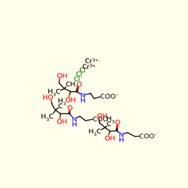 CC(C)(CO)C(O)C(=O)NCCC(=O)[O-].CC(C)(CO)C(O)C(=O)NCCC(=O)[O-].CC(C)(CO)C(O)C(=O)NCCC(=O)[O-].[Cl-].[Cl-].[Cl-].[Cr+3].[Cr+3]